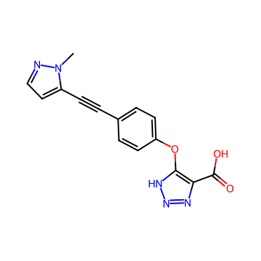 Cn1nccc1C#Cc1ccc(Oc2[nH]nnc2C(=O)O)cc1